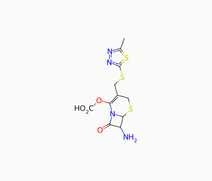 Cc1nnc(SCC2=C(OC(=O)O)N3C(=O)C(N)C3SC2)s1